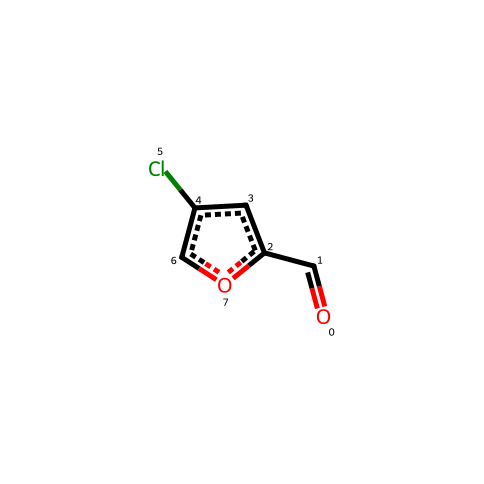 O=Cc1cc(Cl)co1